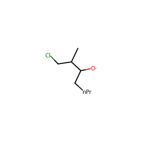 CCCCC([O])C(C)CCl